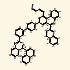 C/C=C\C=C/c1cc(-c2ccc(-c3cccc(-c4nc(-c5cccc6ccccc56)c5ccccc5n4)c3)cc2)cc2c(-c3ccc4ccccc4c3)nc3ccccc3c12